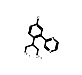 CCC(CC)c1ccc(Cl)cc1-c1cnccn1